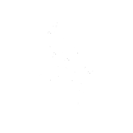 CCOc1ccc(Cc2cc3cc(NC)cnc3n2CC2CCCCC2)nc1